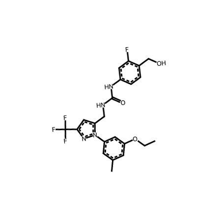 CCOc1cc(C)cc(-n2nc(C(F)(F)F)cc2CNC(=O)Nc2ccc(CO)c(F)c2)c1